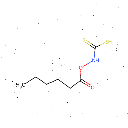 CCCCCC(=O)ONC(=S)S